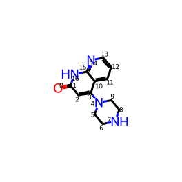 O=c1cc(N2CCNCC2)c2cccnc2[nH]1